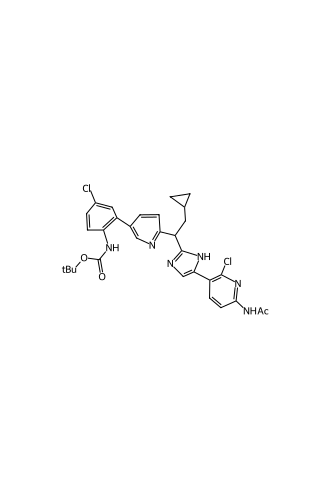 CC(=O)Nc1ccc(-c2cnc(C(CC3CC3)c3ccc(-c4cc(Cl)ccc4NC(=O)OC(C)(C)C)cn3)[nH]2)c(Cl)n1